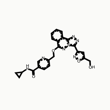 O=C(NC1CC1)c1ccc(COc2nn3c(-c4cc(CO)on4)nnc3c3ccccc23)nc1